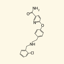 NC(=O)c1ccc(Oc2ccc(CCNCc3ccccc3Cl)cc2)nc1